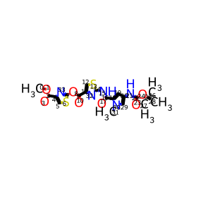 COC(=O)c1csc(OC(=O)c2csc(NC(=O)c3cc(NC(=O)OC(C)(C)C)cn3C)n2)n1